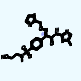 Cc1cnc(NC(=O)/C(=N/OCc2nccs2)c2ccc(S(=O)(=O)N(C)CCO)cc2)s1